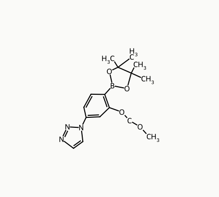 COCOc1cc(-n2ccnn2)ccc1B1OC(C)(C)C(C)(C)O1